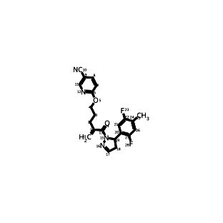 C=C(CCCOc1ccc(C#N)cn1)C(=O)N1N=CCC1c1cc(F)c(C)cc1F